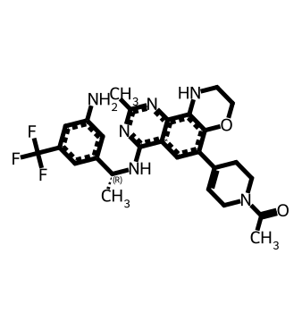 CC(=O)N1CC=C(c2cc3c(N[C@H](C)c4cc(N)cc(C(F)(F)F)c4)nc(C)nc3c3c2OCCN3)CC1